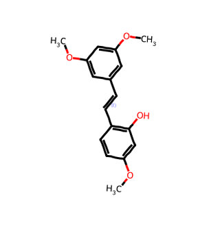 COc1cc(/C=C/c2ccc(OC)cc2O)cc(OC)c1